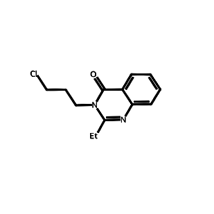 CCc1nc2ccccc2c(=O)n1CCCCl